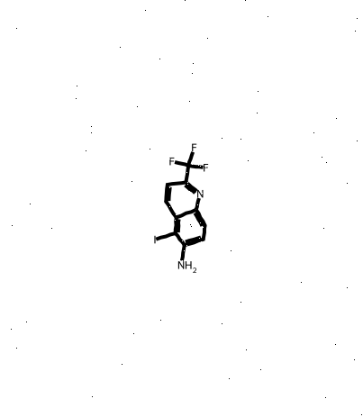 Nc1ccc2nc(C(F)(F)F)ccc2c1I